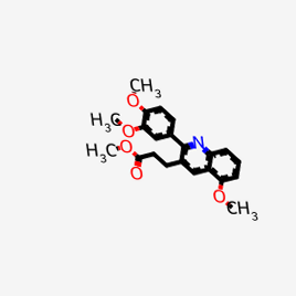 COC(=O)CCc1cc2c(OC)cccc2nc1-c1ccc(OC)c(OC)c1